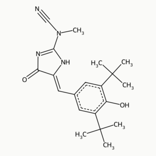 CN(C#N)C1=NC(=O)C(=Cc2cc(C(C)(C)C)c(O)c(C(C)(C)C)c2)N1